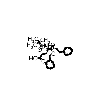 CC(C)(C)[S@@+]([O-])N[C@H](CCC(=O)O)[P@@](=O)(CCc1ccccc1)OCc1ccccc1